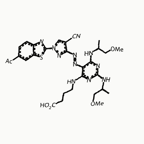 COCC(C)Nc1nc(NCCCC(=O)O)c(N=Nc2nn(-c3nc4ccc(C(C)=O)cc4s3)cc2C#N)c(NC(C)COC)n1